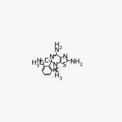 Cc1cccc(C)c1C1(C)N=C(N)c2nc(N)sc2N1